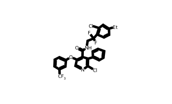 CCc1ccc(C(F)(F)CNC(=O)c2c(Oc3cccc(C(F)(F)F)c3)cnc(Cl)c2-c2ccccc2)c(Cl)c1